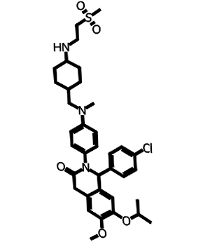 COc1cc2c(cc1OC(C)C)C(c1ccc(Cl)cc1)N(c1ccc(N(C)CC3CCC(NCCS(C)(=O)=O)CC3)cc1)C(=O)C2